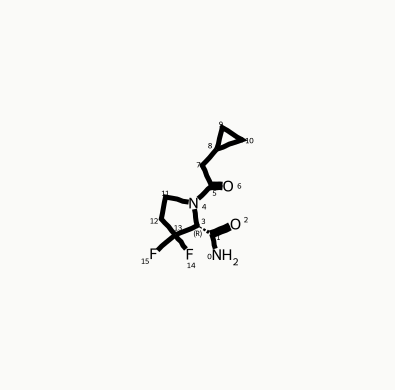 NC(=O)[C@H]1N(C(=O)[CH]C2CC2)CCC1(F)F